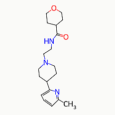 Cc1cccc(C2CCN(CCNC(=O)C3CCOCC3)CC2)n1